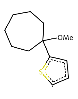 COC1(c2cc[c]s2)CCCCCC1